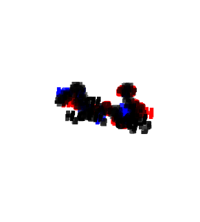 Cc1c(-c2ccc(N3CCc4cccc(C(=O)Nc5nc6ccccc6s5)c4C3)nc2C(=O)O)cnn1CC12CC3(C)CC(C)(C1)CC(OCCNC(=O)OCc1ccc(NC(=O)[C@H](C)NC(=O)[C@@H](NC(=O)C(CS(=O)(=O)O)NC(=O)CCCCCN4C(=O)C=CC4=O)C(C)C)cc1)(C3)C2